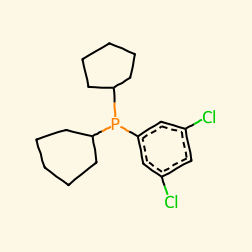 Clc1cc(Cl)cc(P(C2CCCCC2)C2CCCCC2)c1